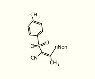 [C-]#[N+]/C(=C(\C)CCCCCCCCC)S(=O)(=O)c1ccc(C)cc1